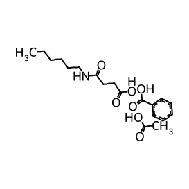 CC(=O)O.CCCCCCNC(=O)CCC(=O)O.O=C(O)c1ccccc1